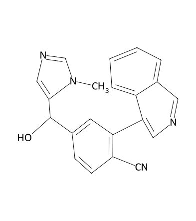 Cn1cncc1C(O)c1ccc(C#N)c(-c2cncc3ccccc23)c1